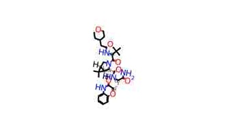 CC(C)(C)[C@H](NC(=O)CC1CCOCC1)C(=O)N1C[C@H]2[C@@H]([C@H]1C(=O)N[C@@H](C[C@@H]1Oc3ccccc3NC1=O)C(N)=O)C2(C)C